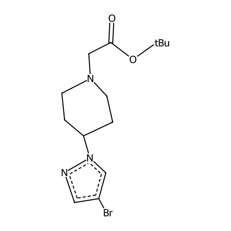 CC(C)(C)OC(=O)CN1CCC(n2cc(Br)cn2)CC1